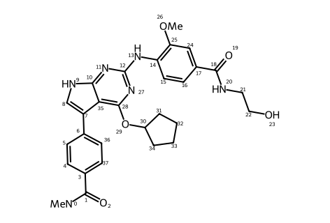 CNC(=O)c1ccc(-c2c[nH]c3nc(Nc4ccc(C(=O)NCCO)cc4OC)nc(OC4CCCC4)c23)cc1